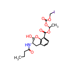 CCCC(=O)N[C@H]1Cc2cccc(C(=O)OC(C)OC(=O)OCI)c2OB1O